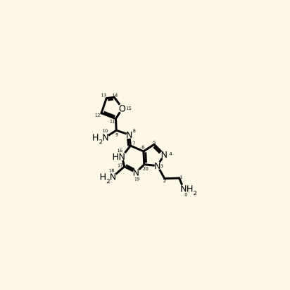 NCCn1ncc2/c(=N/C(N)c3ccco3)[nH]c(N)nc21